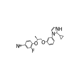 C[C@@H](COc1cccc(N2C=CNC2C2CC2)c1)Oc1ccc(C#N)cc1F